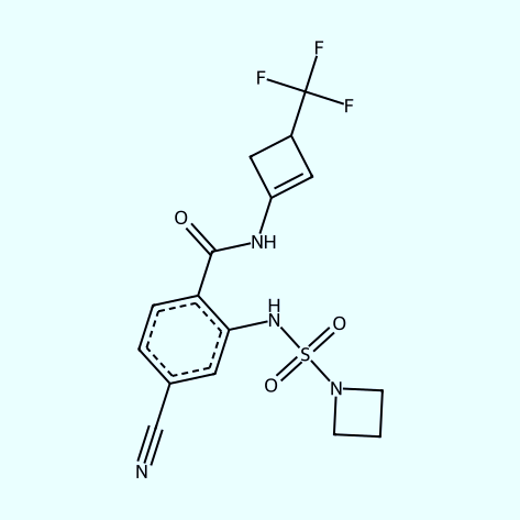 N#Cc1ccc(C(=O)NC2=CC(C(F)(F)F)C2)c(NS(=O)(=O)N2CCC2)c1